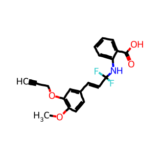 C#CCOc1cc(/C=C/C(F)(F)Nc2ccccc2C(=O)O)ccc1OC